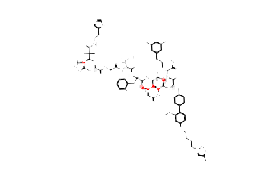 CCc1cc(OCCCCn2cc(C)nn2)ccc1-c1ccc(C[C@H](NC(=O)[C@H](CC(=O)O)NC(=O)[C@H](C)NC(=O)[C@@H](NC(=O)[C@](C)(Cc2ccccc2F)NC(=O)[C@@H](NC(=O)CNC(=O)[C@H](Cc2nn[nH]n2)NC(=O)C(C)(C)C(=O)NCCc2cnc[nH]2)[C@@H](C)O)[C@@H](C)O)C(=O)N[C@@H](CCCc2cc(C)cc(C)c2)C(N)=O)cc1